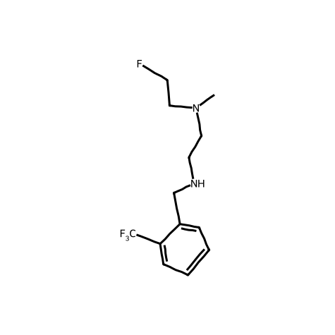 CN(CCF)CCNCc1ccccc1C(F)(F)F